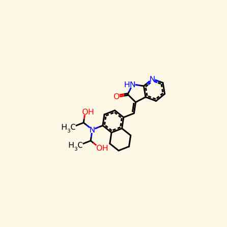 CC(O)N(c1ccc(C=C2C(=O)Nc3ncccc32)c2c1CCCC2)C(C)O